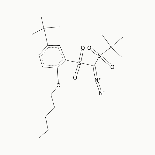 CCCCCOc1ccc(C(C)(C)C)cc1S(=O)(=O)C(=[N+]=[N-])S(=O)(=O)C(C)(C)C